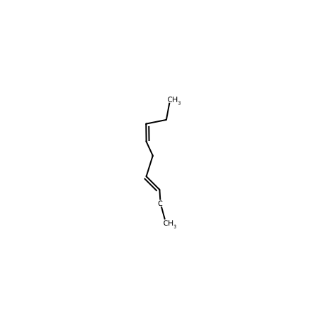 CCC=CC/C=C\CC